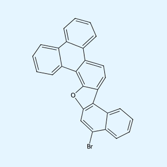 Brc1cc2oc3c(ccc4c5ccccc5c5ccccc5c43)c2c2ccccc12